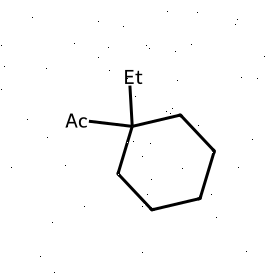 [CH2]C(=O)C1(CC)CCCCC1